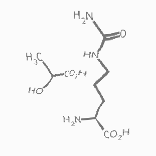 CC(O)C(=O)O.NC(=O)NCCC[C@H](N)C(=O)O